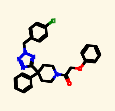 O=C(COc1ccccc1)N1CCC(c2ccccc2)(c2nnn(Cc3ccc(Cl)cc3)n2)CC1